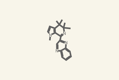 Cn1ccc2c1C(c1cnc3ccccc3n1)=NC(C)(C)C2(C)C